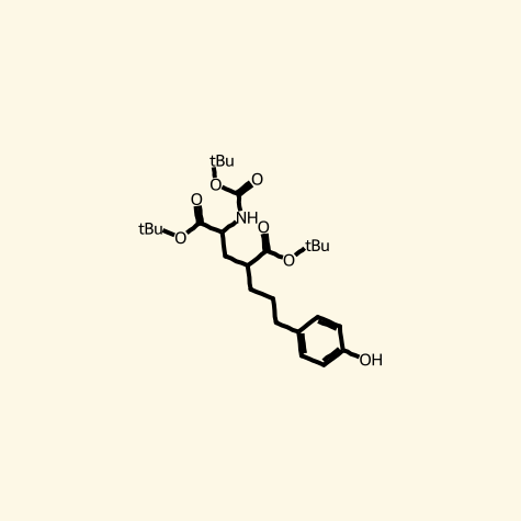 CC(C)(C)OC(=O)NC(CC(CCCc1ccc(O)cc1)C(=O)OC(C)(C)C)C(=O)OC(C)(C)C